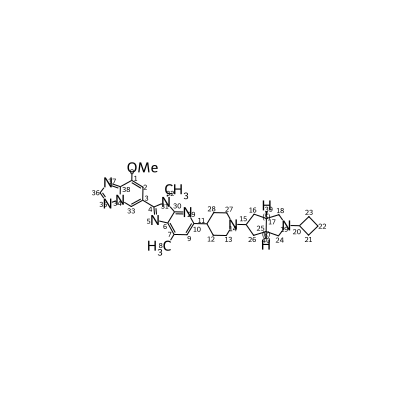 COc1cc(-c2nc3c(C)cc(C4CCN(C5C[C@@H]6CN(C7CCC7)C[C@@H]6C5)CC4)nc3n2C)cn2ncnc12